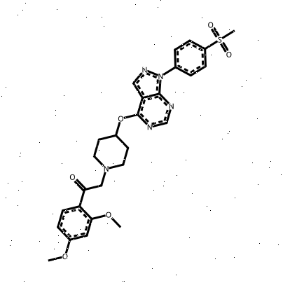 COc1ccc(C(=O)CN2CCC(Oc3ncnc4c3cnn4-c3ccc(S(C)(=O)=O)cc3)CC2)c(OC)c1